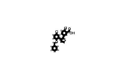 O=C(O)c1cc(-c2sccc2-c2cc(Cl)ccc2OCc2ccccc2)ccc1Cl